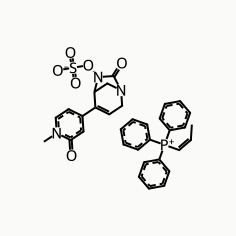 C/C=C\[P+](c1ccccc1)(c1ccccc1)c1ccccc1.Cn1ccc(C2=CCN3CC2N(OS(=O)(=O)[O-])C3=O)cc1=O